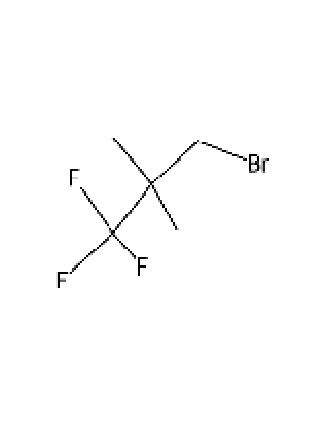 CC(C)(CBr)C(F)(F)F